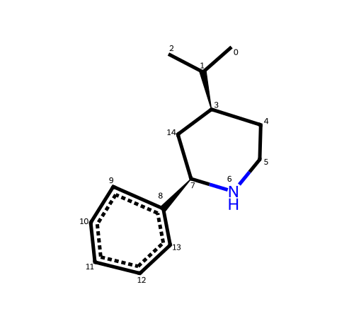 CC(C)[C@H]1CCN[C@@H](c2ccccc2)C1